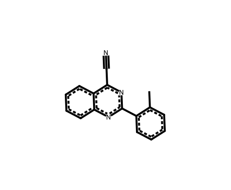 Cc1ccccc1-c1nc(C#N)c2ccccc2n1